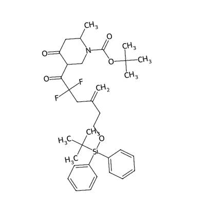 C=C(CCO[Si](c1ccccc1)(c1ccccc1)C(C)(C)C)CC(F)(F)C(=O)C1CN(C(=O)OC(C)(C)C)C(C)CC1=O